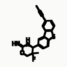 CC#Cc1ccc2sc3ccc(C4NC(=N)OCC4(C)F)cc3c2c1